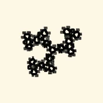 c1ccc2c(c1)Oc1ccccc1N2c1ccc2c(c1)Sc1ccccc1N2c1cnc(-c2cc(-c3ncc(N4c5ccccc5Sc5cc(N6c7ccccc7Oc7ccccc76)ccc54)cn3)cc(-c3ncc(N4c5ccccc5Sc5cc(N6c7ccccc7Oc7ccccc76)ccc54)cn3)c2)nc1